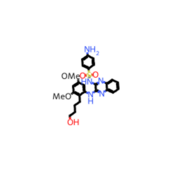 COc1cc(Nc2nc3ccccc3nc2NS(=O)(=O)c2ccc(N)cc2)c(CCCCO)c(OC)c1